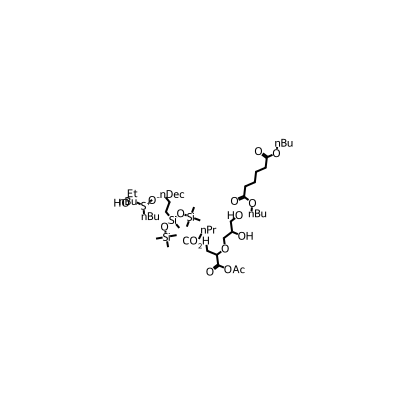 CC(=O)OC(=O)C(CC(=O)O)OCC(O)CO.CCCC.CCCCCCCCCCCC[Si](C)(O[Si](C)(C)C)O[Si](C)(C)C.CCCCOC(=O)CCCCC(=O)OCCCC.CCCC[S+]([O-])CCCC.CCO